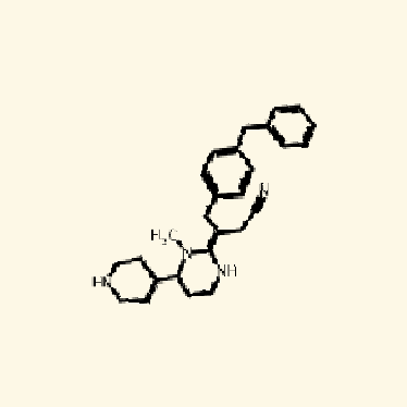 CN1/C(=C(/CC#N)Cc2ccc(Cc3ccccc3)cc2)NCCC1C1CCNCC1